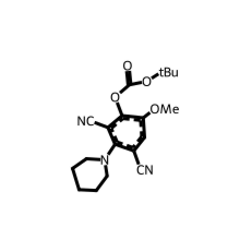 COc1cc(C#N)c(N2CCCCC2)c(C#N)c1OC(=O)OC(C)(C)C